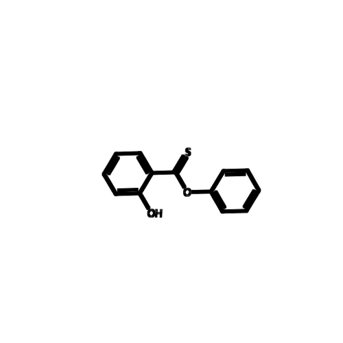 Oc1ccccc1C(=S)Oc1ccccc1